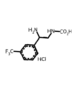 Cl.NC(CNC(=O)O)c1cccc(C(F)(F)F)c1